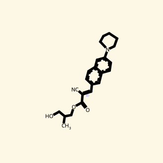 CC(CO)COC(=O)/C(C#N)=C/c1ccc2cc(N3CCCCC3)ccc2c1